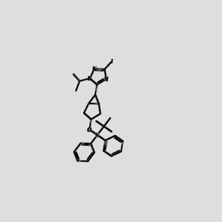 CC(C)n1nc(I)nc1C1C2CC(O[Si](c3ccccc3)(c3ccccc3)C(C)(C)C)CC21